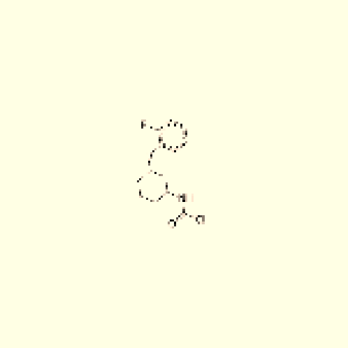 O=C(O)NC1CCCC(Oc2ccccc2F)C1